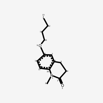 CN1C(=O)CCc2cc(OCCCI)ccc21